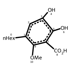 CCCCCCc1cc(O)c(O)c(C(=O)O)c1OC